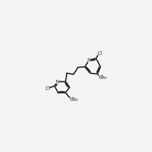 CC(C)(C)c1cc(Cl)nc(CCCc2cc(C(C)(C)C)cc(Cl)n2)c1